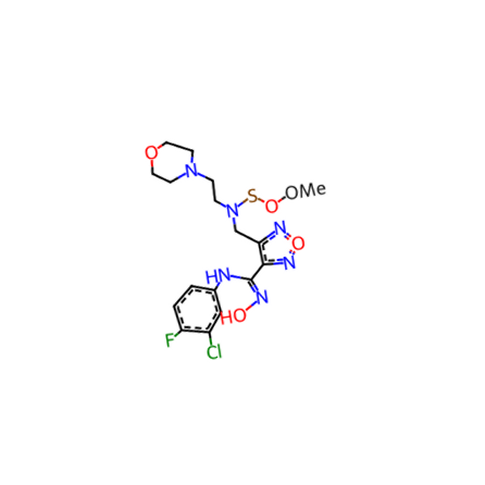 COOSN(CCN1CCOCC1)Cc1nonc1C(=NO)Nc1ccc(F)c(Cl)c1